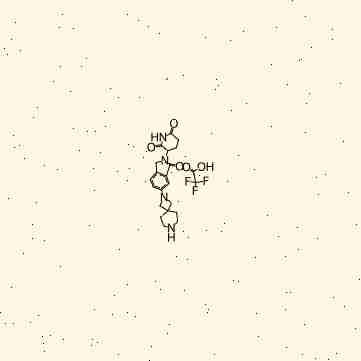 O=C(O)C(F)(F)F.O=C1CCC(N2Cc3ccc(N4CC5(CCNCC5)C4)cc3C2=O)C(=O)N1